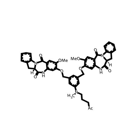 COc1cc2c(cc1OCc1cc(COc3cc4c(cc3OC)C(=O)N3c5ccccc5C[C@H]3C(=O)N4)cc(N(C)CCCC(C)=O)c1)NC(=O)[C@@H]1Cc3ccccc3N1C2=O